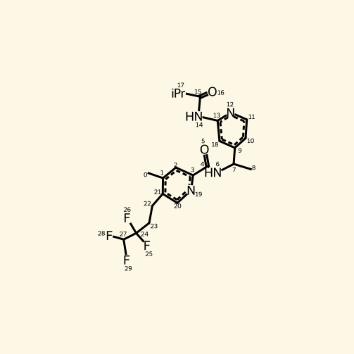 Cc1cc(C(=O)NC(C)c2ccnc(NC(=O)C(C)C)c2)ncc1CCC(F)(F)C(F)F